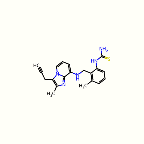 C#CCc1c(C)nc2c(NCc3c(C)cccc3NC(N)=S)cccn12